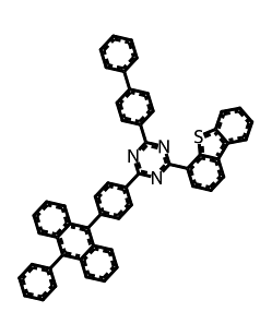 c1ccc(-c2ccc(-c3nc(-c4ccc(-c5c6ccccc6c(-c6ccccc6)c6ccccc56)cc4)nc(-c4cccc5c4sc4ccccc45)n3)cc2)cc1